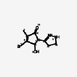 CC1=C(Br)C(O)N(C2=NNCC2)C1=O